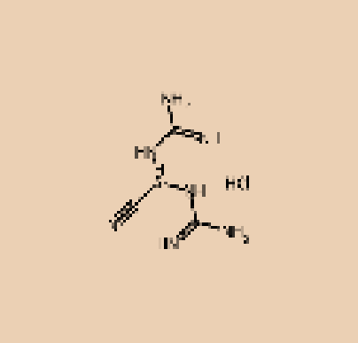 Cl.N#C[SH](NC(=N)N)NC(=N)N